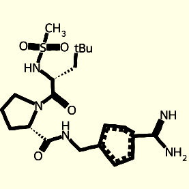 CC(C)(C)C[C@@H](NS(C)(=O)=O)C(=O)N1CCC[C@H]1C(=O)NCc1ccc(C(=N)N)cc1